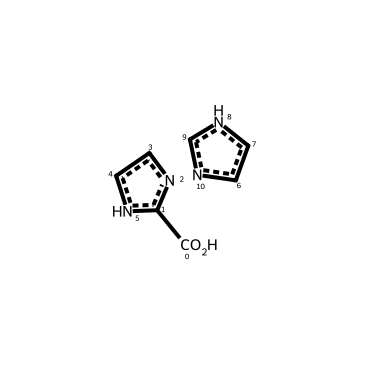 O=C(O)c1ncc[nH]1.c1c[nH]cn1